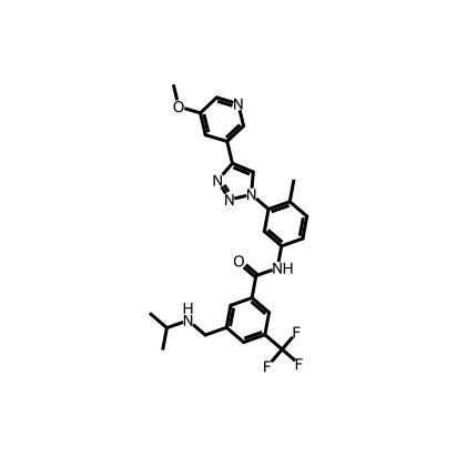 COc1cncc(-c2cn(-c3cc(NC(=O)c4cc(CNC(C)C)cc(C(F)(F)F)c4)ccc3C)nn2)c1